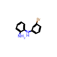 Nc1c[c]ccc1Nc1cccc(Br)c1